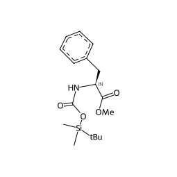 COC(=O)[C@H](Cc1ccccc1)NC(=O)O[Si](C)(C)C(C)(C)C